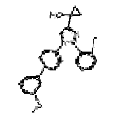 CSc1cccc(-c2ccc(-n3cc(C4(O)CC4)nc3-c3ccccc3Cl)cc2)c1